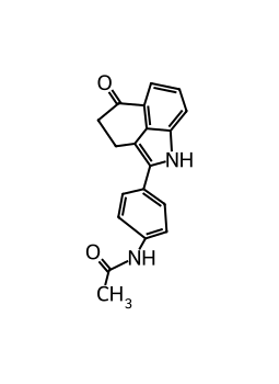 CC(=O)Nc1ccc(-c2[nH]c3cccc4c3c2CCC4=O)cc1